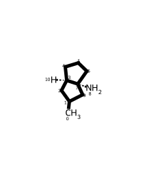 CC1C[C@H]2CCC[C@@]2(N)C1